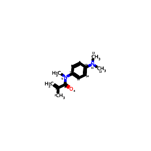 C=C(C)C(=O)N(C)c1ccc(N(C)C)cc1